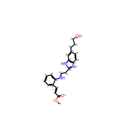 COC(=O)/C=C/c1ccccc1NCCc1nc2ccc(CCCO)cc2[nH]1